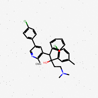 COc1ncc(-c2ccc(Cl)cc2)cc1C(c1ccccc1)C(O)(CCN(C)C)c1cc(C)ccc1Cl